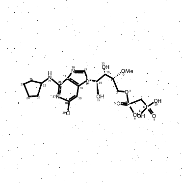 CO[C@H](COP(=O)(O)CP(=O)(O)O)[C@@H](O)[C@@H](O)n1cnc2c(NC3CCCC3)nc(Cl)cc21